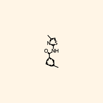 Cc1cccc(C(=O)Nc2nc(C)cs2)c1